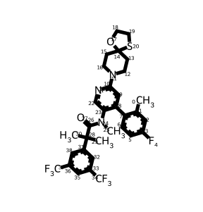 Cc1cc(F)ccc1-c1cc(N2CCC3(CC2)OCCS3)ncc1N(C)C(=O)C(C)(C)c1cc(C(F)(F)F)cc(C(F)(F)F)c1